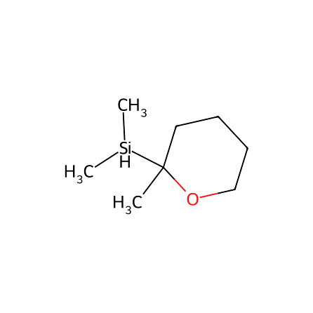 C[SiH](C)C1(C)CCCCO1